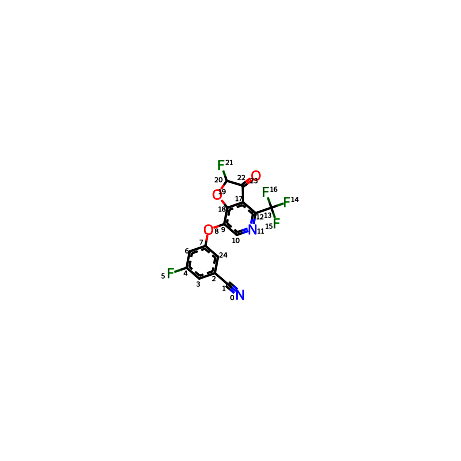 N#Cc1cc(F)cc(Oc2cnc(C(F)(F)F)c3c2OC(F)C3=O)c1